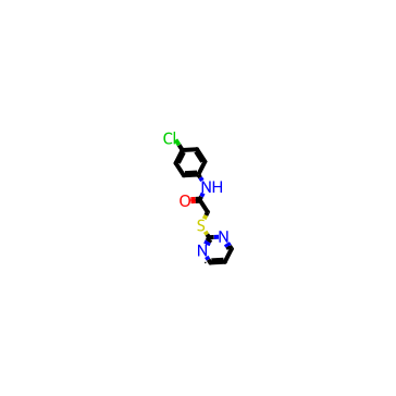 O=C(CSc1n[c]ccn1)Nc1ccc(Cl)cc1